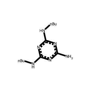 CCCCNc1nc(N)nc(NCCCC)n1